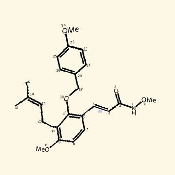 CONC(=O)/C=C/c1ccc(OC)c(CC=C(C)C)c1OCc1ccc(OC)cc1